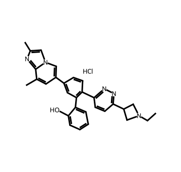 CCN1CC(c2ccc(-c3ccc(-c4cc(C)c5nc(C)cn5c4)cc3-c3ccccc3O)nn2)C1.Cl